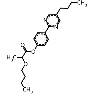 CCCCOC(C)C(=O)Oc1ccc(-c2ncc(CCCC)cn2)cc1